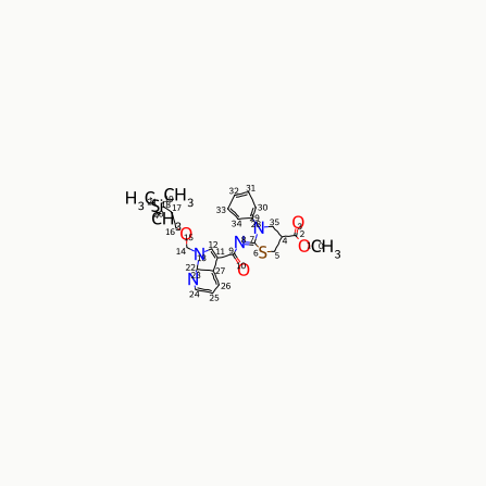 COC(=O)C1CS/C(=N\C(=O)c2cn(COCC[Si](C)(C)C)c3ncccc23)N(c2ccccc2)C1